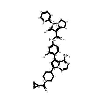 Nc1ncnn2c(C3CCN(C(=O)C4CC4)CC3)cc(-c3ccc(NC(=O)c4c5n(n(-c6ccccn6)c4=O)CCC5)cc3F)c12